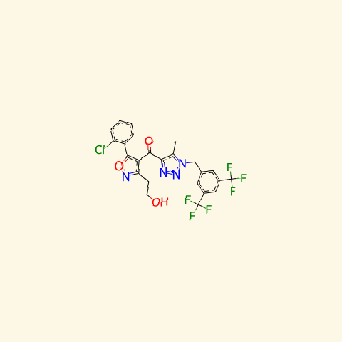 Cc1c(C(=O)c2c(CCO)noc2-c2ccccc2Cl)nnn1Cc1cc(C(F)(F)F)cc(C(F)(F)F)c1